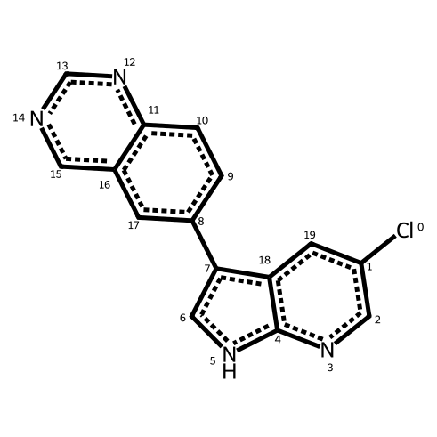 Clc1cnc2[nH]cc(-c3ccc4ncncc4c3)c2c1